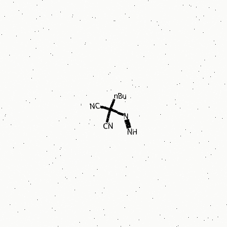 CCCCC(C#N)(C#N)N=N